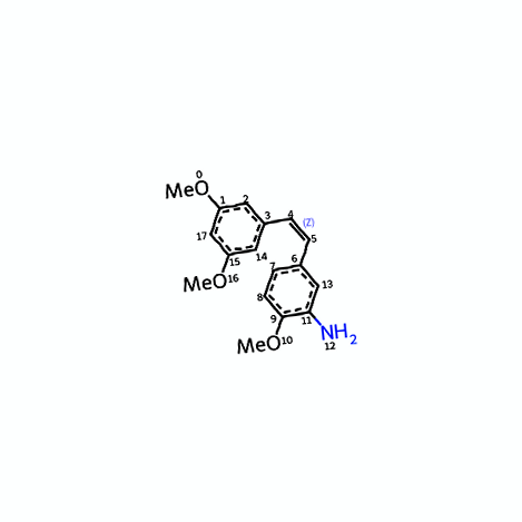 COc1cc(/C=C\c2ccc(OC)c(N)c2)cc(OC)c1